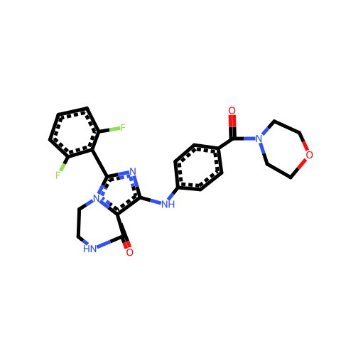 O=C1NCCn2c(-c3c(F)cccc3F)nc(Nc3ccc(C(=O)N4CCOCC4)cc3)c21